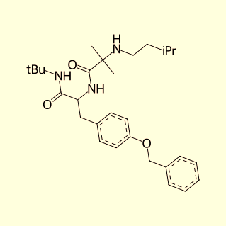 CC(C)CCNC(C)(C)C(=O)NC(Cc1ccc(OCc2ccccc2)cc1)C(=O)NC(C)(C)C